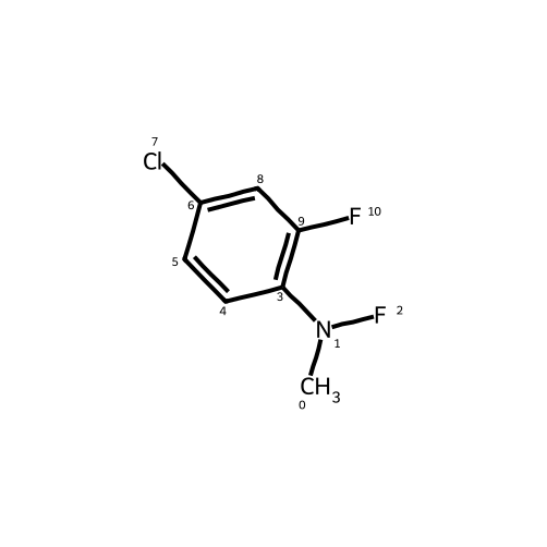 CN(F)c1ccc(Cl)cc1F